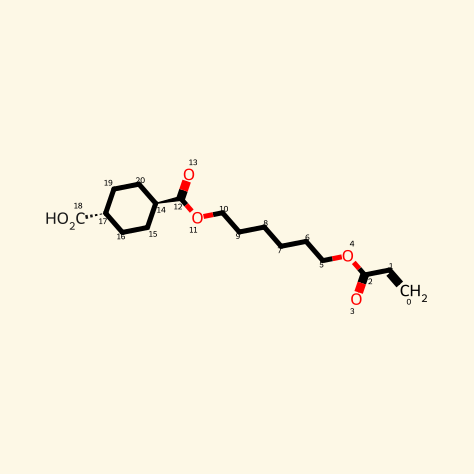 C=CC(=O)OCCCCCCOC(=O)[C@H]1CC[C@H](C(=O)O)CC1